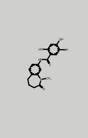 CC(C)c1cc(C(=S)Nc2ccc3c(c2)N(C)C(=O)CCC3)c(O)cc1O